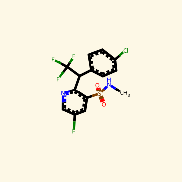 CNS(=O)(=O)c1cc(F)cnc1C(c1ccc(Cl)cc1)C(F)(F)F